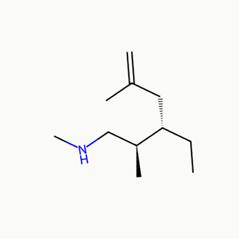 C=C(C)C[C@H](CC)[C@@H](C)CNC